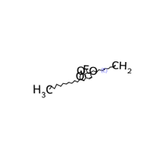 C=CCC/C=C/CCOc1ccc2cc(CCCCCCCCCCC)oc(=O)c2c1F